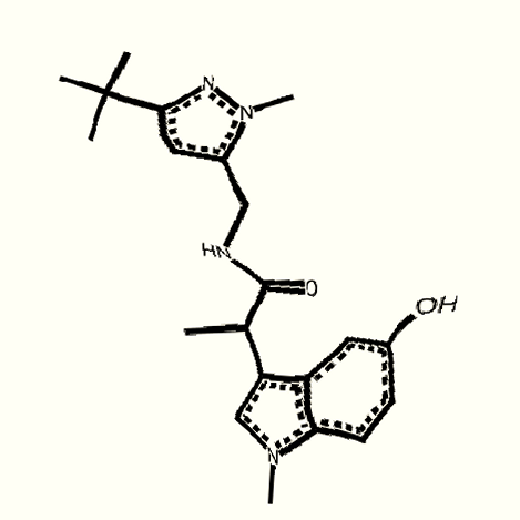 CC(C(=O)NCc1cc(C(C)(C)C)nn1C)c1cn(C)c2ccc(O)cc12